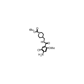 COc1cc(N)c(Cl)cc1C(=O)NCC1CCN(C(=O)OC(C)(C)C)CC1